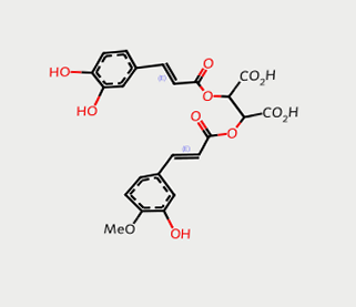 COc1ccc(/C=C/C(=O)OC(C(=O)O)C(OC(=O)/C=C/c2ccc(O)c(O)c2)C(=O)O)cc1O